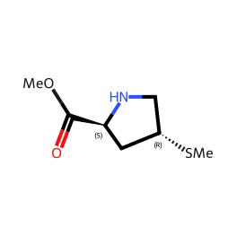 COC(=O)[C@@H]1C[C@@H](SC)CN1